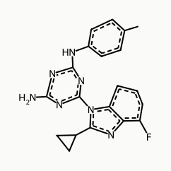 Cc1ccc(Nc2nc(N)nc(-n3c(C4CC4)nc4c(F)cccc43)n2)cc1